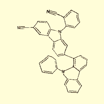 N#Cc1ccc2c(c1)c1ccc(-c3cccc4c5ccccc5n(-c5ccccc5)c34)cc1n2-c1ccccc1C#N